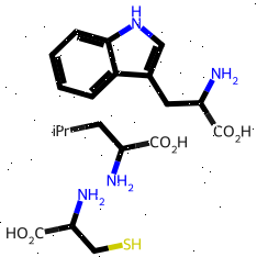 CC(C)CC(N)C(=O)O.NC(CS)C(=O)O.NC(Cc1c[nH]c2ccccc12)C(=O)O